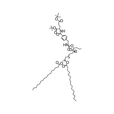 CCCCCCCCCCCCCCCC(=O)OC[C@H](CSCCS(=O)(=O)C(CCC)OC(=O)NCc1ccc(C(=O)NC(CCC(=O)OC(C)(C)C)C(=O)OC(C)(C)C)cc1)OC(=O)CCCCCCCCCCCCCCC